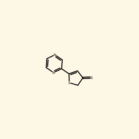 S=C1C=C(c2cnccn2)SC1